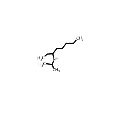 CCCCCC(CC)NC(C)C